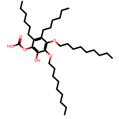 CCCCCCCCCOc1c(O)c(OC(=O)O)c(CCCCCC)c(CCCCCC)c1OCCCCCCCCC